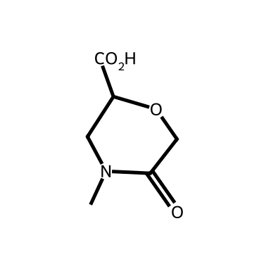 CN1CC(C(=O)O)OCC1=O